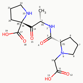 C[C@H](NC(=O)[C@@H]1CCCN1CC(=O)O)C(=O)[C@@]1(C(=O)O)CCCN1